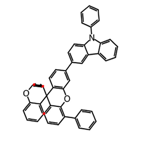 c1ccc(-c2cccc3c2Oc2cc(-c4ccc5c(c4)c4ccccc4n5-c4ccccc4)ccc2C32c3ccccc3Oc3ccccc32)cc1